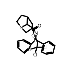 O=C(OCC(Cl)(Cl)Cl)C1C2CCN1CC(=NN(c1ccccc1)c1ccccc1)C2